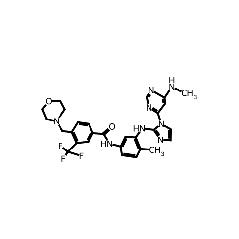 CNc1cc(-n2ccnc2Nc2cc(NC(=O)c3ccc(CN4CCOCC4)c(C(F)(F)F)c3)ccc2C)ncn1